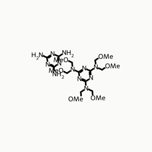 COCN(COC)c1nc(N(COC)COC)nc(N(COC)COC)n1.Nc1nc(N)nc(N)n1